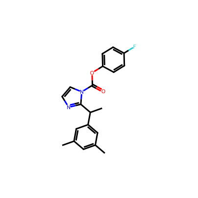 Cc1cc(C)cc(C(C)c2nccn2C(=O)Oc2ccc(F)cc2)c1